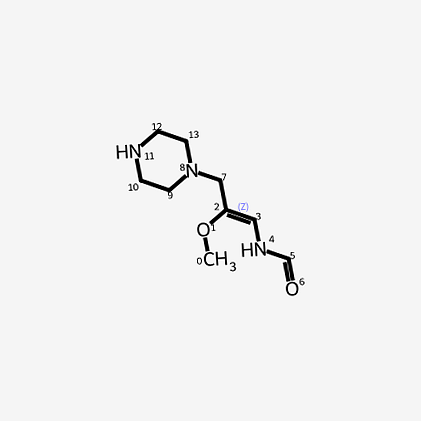 CO/C(=C\NC=O)CN1CCNCC1